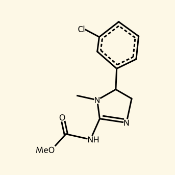 COC(=O)NC1=NCC(c2cccc(Cl)c2)N1C